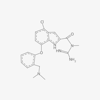 CN(C)Cc1ccccc1Oc1ccc(Cl)c2cc(C(=O)N(C)C(=N)N)[nH]c12